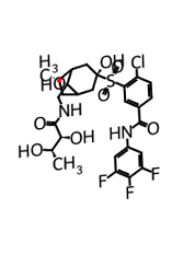 C[C@H]1CC2C[C@@](O)(S(=O)(=O)c3cc(C(=O)Nc4cc(F)c(F)c(F)c4)ccc3Cl)CC1[C@@]2(O)CNC(=O)[C@@H](O)[C@@H](C)O